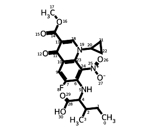 CCC(C)C(Nc1c(F)cc2c(=O)c(C(=O)OC)cn(C3CC3)c2c1[N+](=O)[O-])C(=O)O